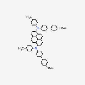 COc1ccc(-c2ccc(N(c3ccc(C)cc3)c3ccc4ccc5c(N(c6ccc(C)cc6)c6ccc(-c7ccc(OC)cc7)cc6)ccc6ccc3c4c65)cc2)cc1